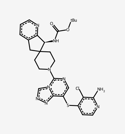 CC(C)(C)OC(=O)N[C@@H]1c2ncccc2CC12CCN(c1ncc(Sc3ccnc(N)c3Cl)c3nncn13)CC2